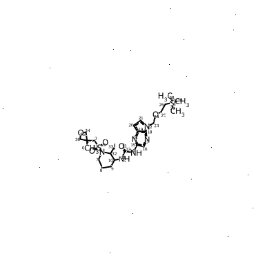 CC1(CS(=O)(=O)N2CCCC(NC(=O)Nc3cnc4c(ccn4COCC[Si](C)(C)C)n3)C2I)COC1